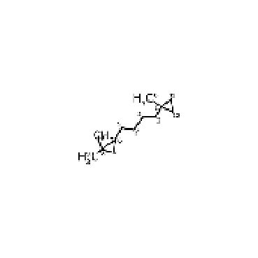 CC1(CC[CH]CC2CC2(C)C)CC1